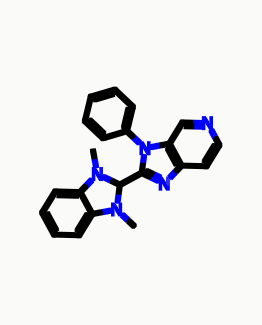 CN1c2ccccc2N(C)C1c1nc2ccncc2n1-c1ccccc1